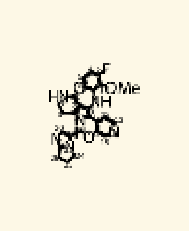 COc1c(F)cccc1Nc1c(-c2ccncc2OCc2cnc3n2CCC3)[nH]c2c1C(=O)NCC2